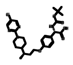 C[C@H](CCOc1ccc([C@H](NC(=O)OC(C)(C)C)C(=O)O)cc1)C1CCN(c2ncc(Cl)cn2)CC1